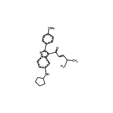 COc1ccc(-c2nn3ccc(NC4CCCC4)cc3c2C(=O)C=CN(C)C)cc1